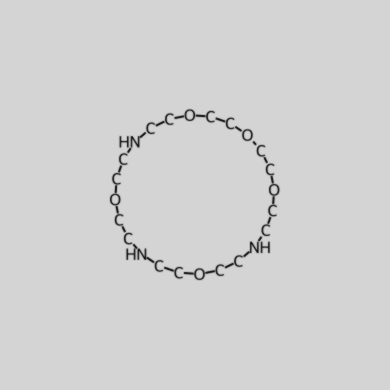 C1COCCNCCOCCOCCOCCNCCOCCN1